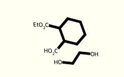 CCOC(=O)C1CCCCC1C(=O)O.OCCO